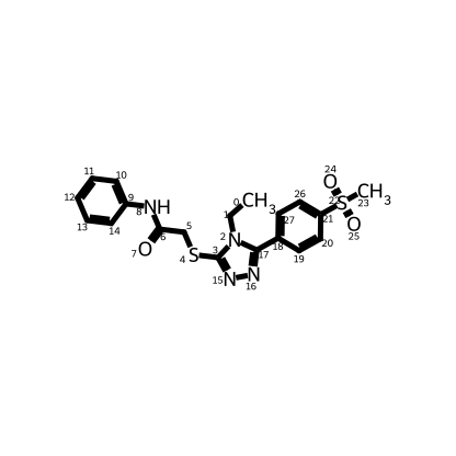 CCn1c(SCC(=O)Nc2ccccc2)nnc1-c1ccc(S(C)(=O)=O)cc1